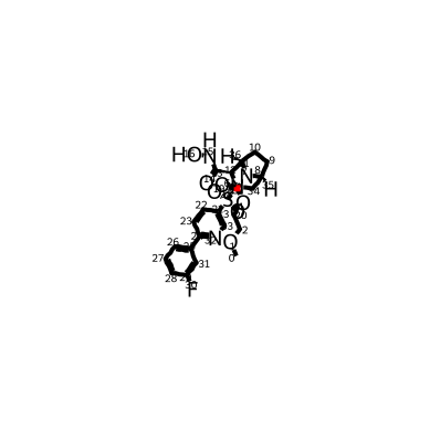 COCCOC(=O)N1[C@@H]2CC[C@H]1[C@H](C(=O)NO)N(S(=O)(=O)c1ccc(-c3cccc(F)c3)nc1)C2